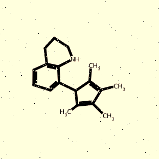 CC1=C(C)C(C)=C(C)[C]1c1cccc2c1NCCC2